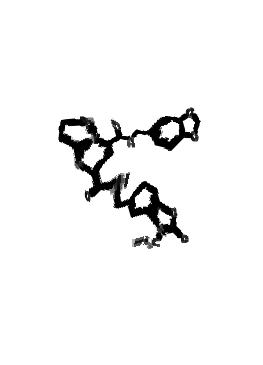 Cn1c(=O)oc2ccc(CNC(=O)c3cc(C(=O)NCc4ccc5c(c4)OCO5)n4nccc4n3)cc21